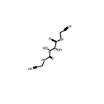 C#CCNC(=O)[C@@H](O)[C@H](O)C(=O)NCC#C